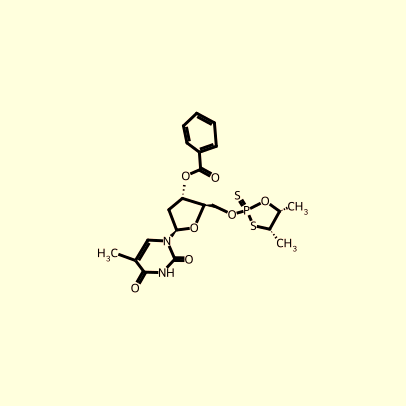 Cc1cn([C@H]2C[C@H](OC(=O)c3ccccc3)[C@@H](COP3(=S)O[C@H](C)[C@H](C)S3)O2)c(=O)[nH]c1=O